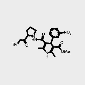 COC(=O)C1=C(C)NC(C)=C(C(=O)NN2CCCC2C(=O)CC(C)C)C1c1cccc([N+](=O)[O-])c1